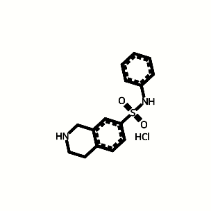 Cl.O=S(=O)(Nc1ccccc1)c1ccc2c(c1)CNCC2